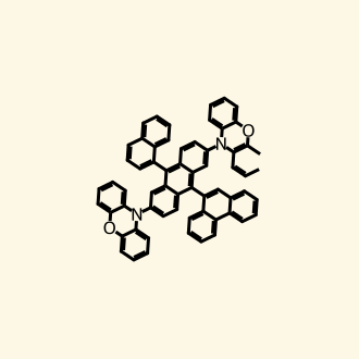 C/C=C\C1=C(C)Oc2ccccc2N1c1ccc2c(-c3cccc4ccccc34)c3cc(N4c5ccccc5Oc5ccccc54)ccc3c(-c3cc4ccccc4c4ccccc34)c2c1